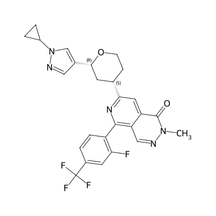 Cn1ncc2c(-c3ccc(C(F)(F)F)cc3F)nc([C@H]3CCO[C@@H](c4cnn(C5CC5)c4)C3)cc2c1=O